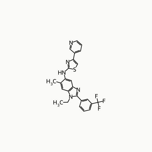 CCn1c(-c2cccc(C(F)(F)F)c2)nc2cc(Nc3nc(-c4cccnc4)cs3)c(C)cc21